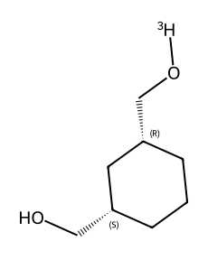 [3H]OC[C@@H]1CCC[C@H](CO)C1